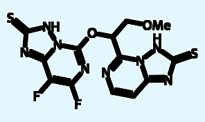 COCC(Oc1nc(F)c(F)c2nc(=S)[nH]n12)c1nccc2nc(=S)[nH]n12